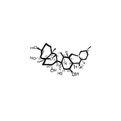 C[C@H]1CC[C@@H]2N(C1)C[C@@H]1[C@H]([C@@H](O)[C@H](O)[C@]3(O)[C@H]1C[C@@]14O[C@@]5(O)[C@@H](C[C@@H](O)[C@@H]31)[C@]4(C)CC[C@@H]5O)[C@]2(C)O